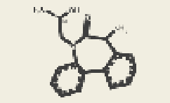 NC1C(=O)N(C[C@H](O)C(F)(F)F)c2ccccc2-c2ccccc21